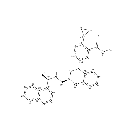 COC(=O)c1cc([C@H]2C[C@H](CN[C@H](C)c3cccc4ccccc34)Oc3ccccc32)ccc1C1CC1